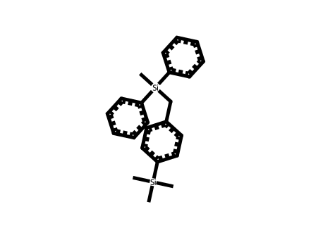 C[Si](C)(C)c1ccc(C[Si](C)(c2ccccc2)c2ccccc2)cc1